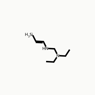 CCN(CC)CNC=C[SiH3]